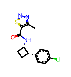 Cc1nnsc1C(=O)N[C@H]1CC[C@H]1c1ccc(Cl)cc1